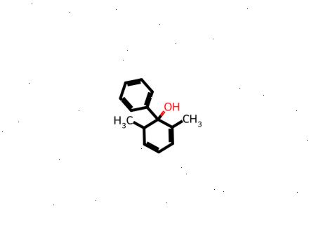 CC1=CC=CC(C)C1(O)c1ccccc1